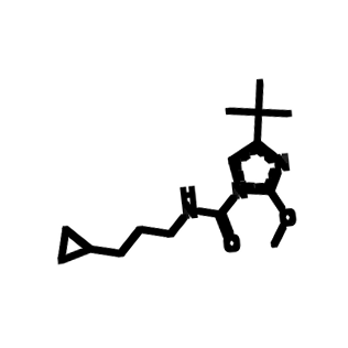 COc1nc(C(C)(C)C)cn1C(=O)NCCCC1CC1